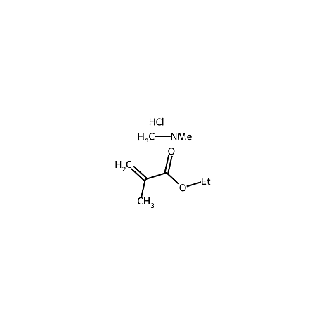 C=C(C)C(=O)OCC.CNC.Cl